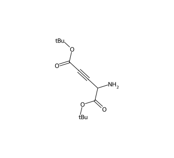 CC(C)(C)OC(=O)C#CC(N)C(=O)OC(C)(C)C